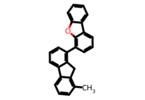 Cc1cccc2c1Cc1c-2cccc1-c1cccc2c1oc1ccccc12